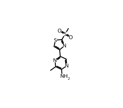 Cc1nc(-c2csc(S(C)(=O)=O)n2)cnc1N